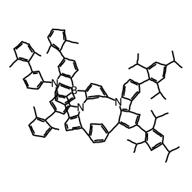 Cc1cccc(C)c1-c1cccc(N2c3cc(-c4c(C)cccc4C)ccc3B3c4c2cc(-c2c(C)cccc2C)cc4-n2c4cc(ccc43)n3c4ccc(-c5c(C(C)C)cc(C(C)C)cc5C(C)C)cc4c4cc(-c5c(C(C)C)cc(C(C)C)cc5C(C)C)cc(c5ccc(cc5)c5cccc(-c6ccccc6)c52)c43)c1